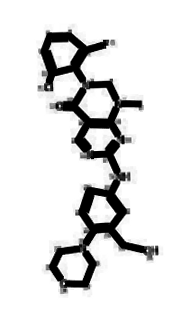 CN1CN(c2c(F)cccc2Cl)C(=O)c2cnc(Nc3ccc(N4CCOCC4)c(CO)c3)nc21